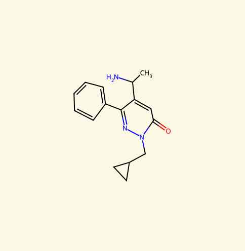 CC(N)c1cc(=O)n(CC2CC2)nc1-c1ccccc1